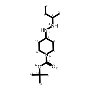 CCC(C)NNC1CCN(C(=O)OC(C)(C)C)CC1